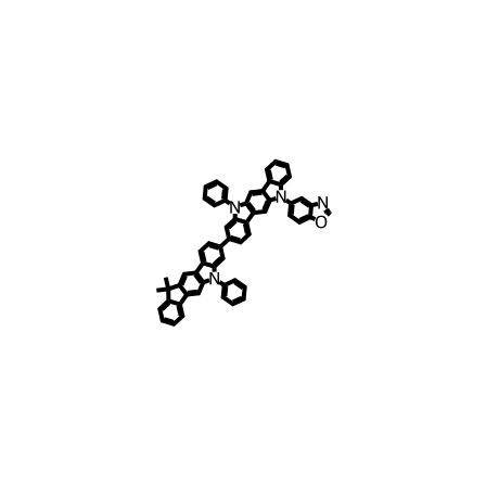 CC1(C)c2ccccc2-c2cc3c(cc21)c1ccc(-c2ccc4c5cc6c(cc5n(-c5ccccc5)c4c2)c2ccccc2n6-c2ccc4ocnc4c2)cc1n3-c1ccccc1